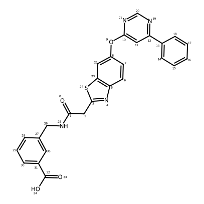 O=C(Cc1nc2ccc(Oc3cc(-c4ccccc4)ncn3)cc2s1)NCc1cccc(C(=O)O)c1